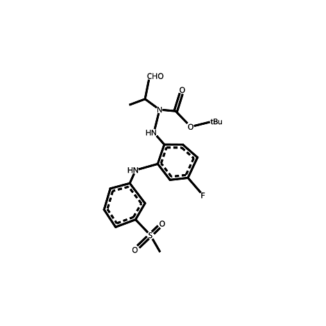 CC(C=O)N(Nc1ccc(F)cc1Nc1cccc(S(C)(=O)=O)c1)C(=O)OC(C)(C)C